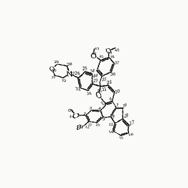 COc1cc2c3c(c4c(c2cc1Br)-c1ccccc1C4)C=CC(c1ccc(N2CCOCC2)cc1)(c1ccc(OC)c(OC)c1)O3